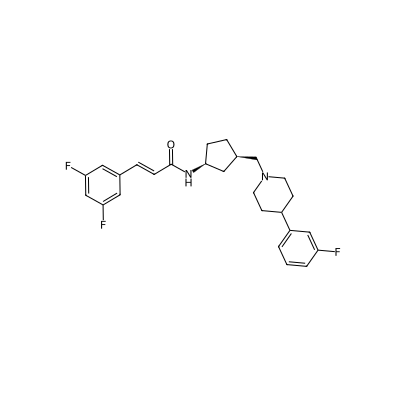 O=C(/C=C/c1cc(F)cc(F)c1)N[C@H]1CC[C@@H](CN2CCC(c3cccc(F)c3)CC2)C1